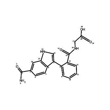 NC(=O)c1ccc2c(-c3ccccc3C(=O)NCC(=O)O)c[nH]c2c1